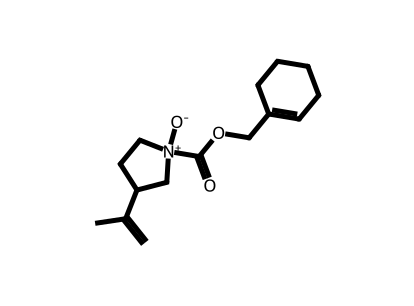 C=C(C)C1CC[N+]([O-])(C(=O)OCC2=CCCCC2)C1